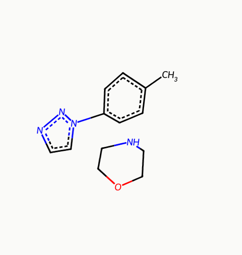 C1COCCN1.Cc1ccc(-n2ccnn2)cc1